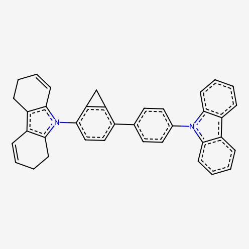 C1=Cc2c(c3c(n2-c2ccc(-c4ccc(-n5c6ccccc6c6ccccc65)cc4)c4c2C4)CCC=C3)CC1